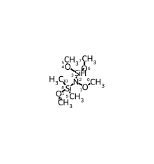 CON([SiH](OC)OC)[Si](C)(C)OC